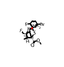 COC(=O)[C@]12SC(N)=N[C@@](CF)([C@@H]1C)[C@@H]2c1cc(Br)ccc1F